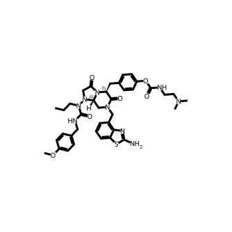 CCCN(C(=O)NCc1ccc(OC)cc1)N1CC(=O)N2[C@@H](Cc3ccc(OC(=O)NCCN(C)C)cc3)C(=O)N(Cc3cccc4sc(N)nc34)C[C@@H]21